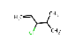 [CH2]C(C)C(Cl)C=C